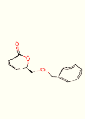 O=C1CC[C@H](COCc2ccccc2)O1